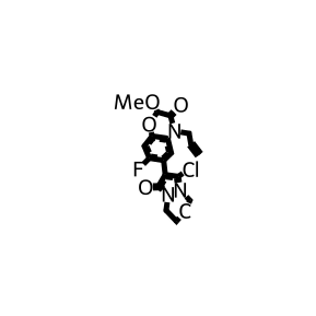 C#CCN1C(=O)C(OC)Oc2cc(F)c(-c3c(Cl)n4n(c3=O)CCCC4)cc21